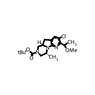 COC(C)c1nc2c(cc1Cl)C[C@@H]1CN(C(=O)OC(C)(C)C)C[C@@H](C)N21